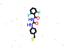 O=C(NC(=O)c1c(F)cccc1F)Nc1ccc(C=S)cc1